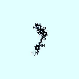 NCc1cccc(NCCCC(=O)Nc2cccc3c2C(=O)N(C2CCC(=O)NC2=O)C3=O)c1